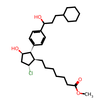 COC(=O)CCCCCC[C@@H]1[C@@H](c2ccc(C(O)CCC3CCCCC3)cc2)[C@H](O)C[C@H]1Cl